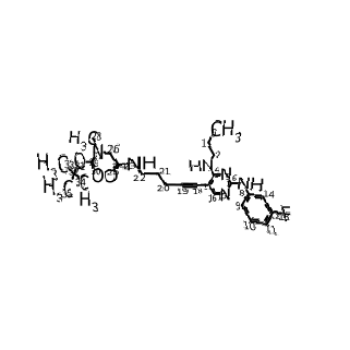 CCCNc1nc(Nc2cccc(F)c2)ncc1C#CCCCNC(=O)CN(C)C(=O)OC(C)(C)C